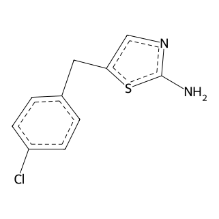 Nc1ncc(Cc2ccc(Cl)cc2)s1